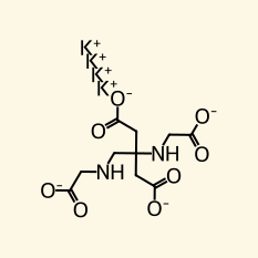 O=C([O-])CNCC(CC(=O)[O-])(CC(=O)[O-])NCC(=O)[O-].[K+].[K+].[K+].[K+]